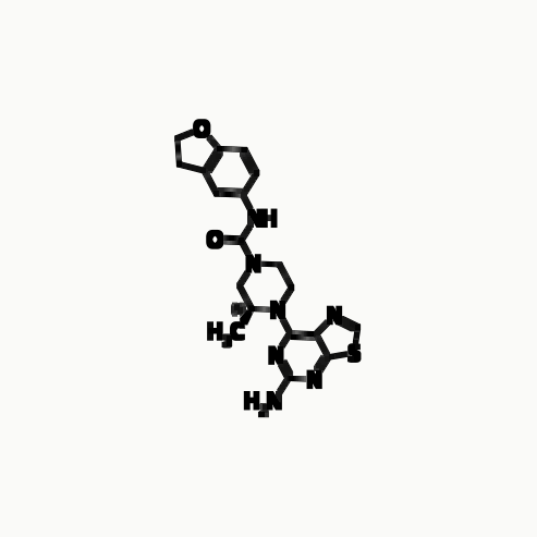 C[C@H]1CN(C(=O)Nc2ccc3c(c2)CCO3)CCN1c1nc(N)nc2scnc12